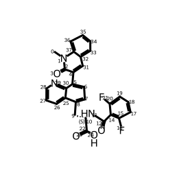 Cn1c(=O)c(-c2ccc(C[C@H](NC(=O)c3c(F)cccc3F)C(=O)O)c3cccnc23)cc2ccccc21